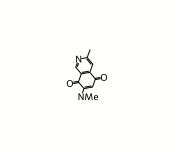 CNC1=CC(=O)c2cc(C)ncc2C1=O